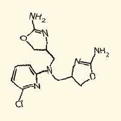 NC1=NC(CN(CC2COC(N)=N2)c2cccc(Cl)n2)CO1